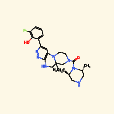 C[C@@H]1CNC[C@@H](C)N1C(=O)N1CCN2c3cc(-c4cccc(F)c4O)nnc3NCC2(C)C1